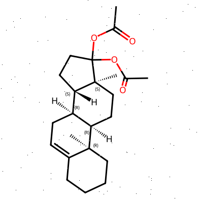 CC(=O)OC1(OC(C)=O)CC[C@H]2[C@@H]3CC=C4CCCC[C@]4(C)[C@@H]3CC[C@@]21C